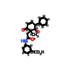 CC1(CC(=O)Nc2cccc(C(=O)O)c2)C(=O)C=CC(c2ccccc2)C1=O